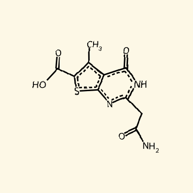 Cc1c(C(=O)O)sc2nc(CC(N)=O)[nH]c(=O)c12